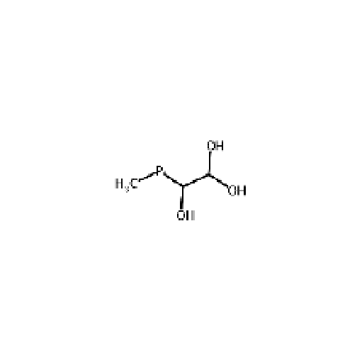 C[P]C(O)C(O)O